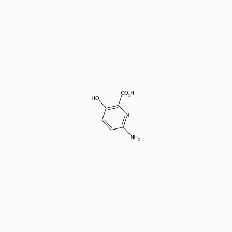 Nc1ccc(O)c(C(=O)O)n1